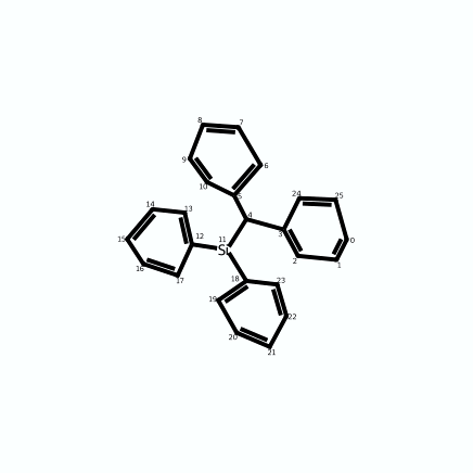 c1ccc(C(c2ccccc2)[Si](c2ccccc2)c2ccccc2)cc1